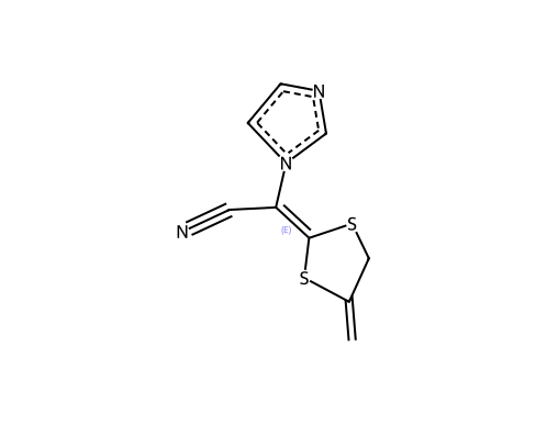 C=C1CS/C(=C(/C#N)n2ccnc2)S1